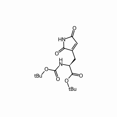 CC(C)(C)OC(=O)N[C@@H](CC1=CC(=O)NC1=O)C(=O)OC(C)(C)C